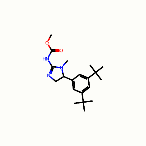 COC(=O)NC1=NCC(c2cc(C(C)(C)C)cc(C(C)(C)C)c2)N1C